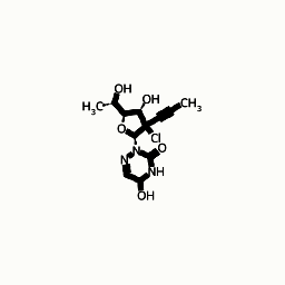 CC#CC1(Cl)[C@@H](O)[C@@H]([C@H](C)O)O[C@H]1N1N=CC(O)NC1=O